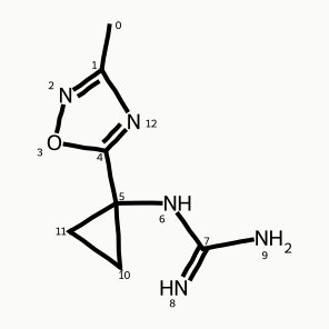 Cc1noc(C2(NC(=N)N)CC2)n1